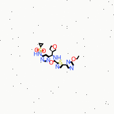 CCOc1cncc(-c2cnc(C(=O)N[C@H](c3cc(NS(=O)(=O)C4CC4)ncn3)[C@H]3CCOC3)s2)n1